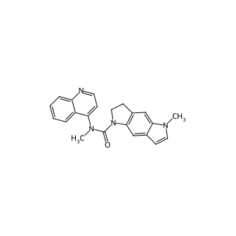 CN(C(=O)N1CCc2cc3c(ccn3C)cc21)c1ccnc2ccccc12